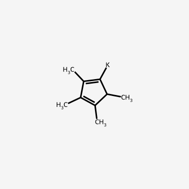 CC1=C(C)C(C)[C]([K])=C1C